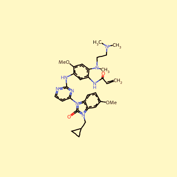 C=CC(=O)Nc1cc(Nc2nccc(-n3c(=O)n(CC4CC4)c4cc(OC)ccc43)n2)c(OC)cc1N(C)CCN(C)C